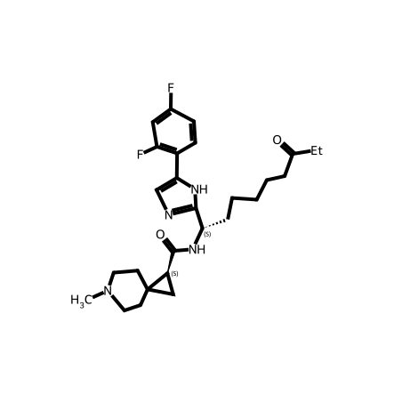 CCC(=O)CCCCC[C@H](NC(=O)[C@H]1CC12CCN(C)CC2)c1ncc(-c2ccc(F)cc2F)[nH]1